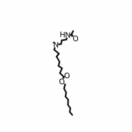 CCCCCCCCCOC(=O)CCCCCCCN(C)CCCNC(C)=O